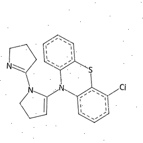 Clc1cccc2c1Sc1ccccc1N2C1=CCCN1C1=NCCC1